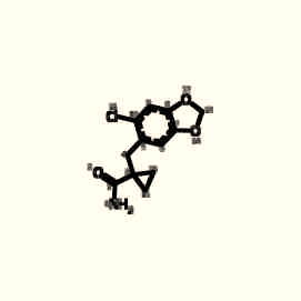 NC(=O)C1(Cc2cc3c(cc2Cl)OCO3)CC1